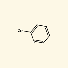 [Zn][c]1ccccn1